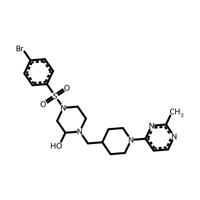 Cc1nccc(N2CCC(CN3CCN(S(=O)(=O)c4ccc(Br)cc4)CC3O)CC2)n1